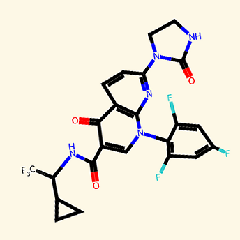 O=C(NC(C1CC1)C(F)(F)F)c1cn(-c2c(F)cc(F)cc2F)c2nc(N3CCNC3=O)ccc2c1=O